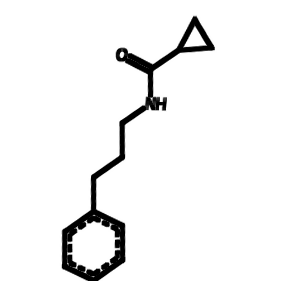 O=C(NCCCc1ccccc1)C1CC1